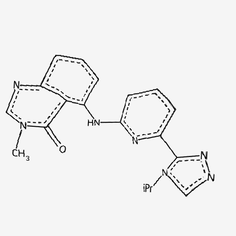 CC(C)n1cnnc1-c1cccc(Nc2cccc3ncn(C)c(=O)c23)n1